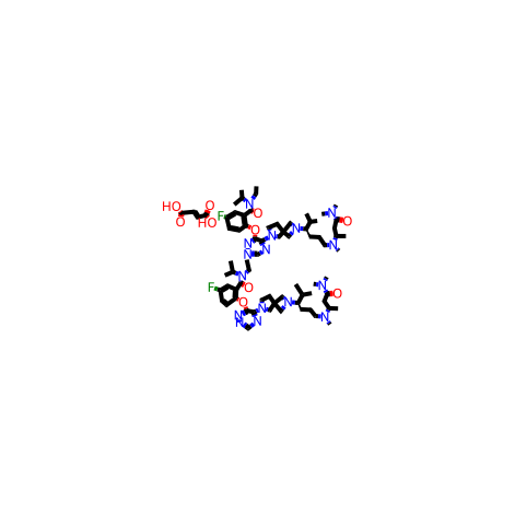 CCN(C(=O)c1cc(F)ccc1Oc1nncnc1N1CCC2(C1)CN([C@H](CCCN(C)C(C)CC(=O)N(C)C)C(C)C)C2)C(C)C.CCN(C(=O)c1cc(F)ccc1Oc1nncnc1N1CCC2(C1)CN([C@H](CCCN(C)C(C)CC(=O)N(C)C)C(C)C)C2)C(C)C.O=C(O)/C=C/C(=O)O